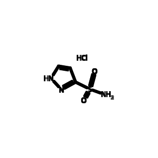 Cl.NS(=O)(=O)c1cc[nH]n1